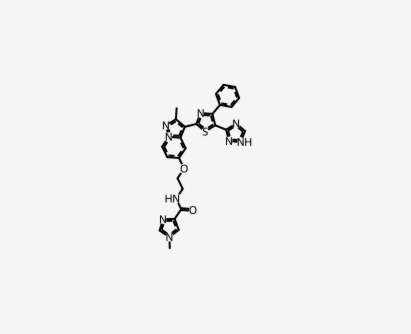 Cc1nn2ccc(OCCNC(=O)c3cn(C)cn3)cc2c1-c1nc(-c2ccccc2)c(-c2nc[nH]n2)s1